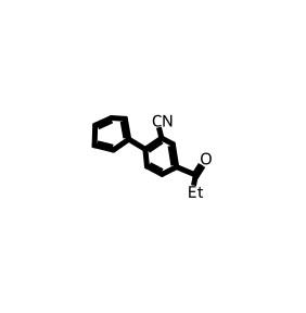 CCC(=O)c1ccc(-c2ccccc2)c(C#N)c1